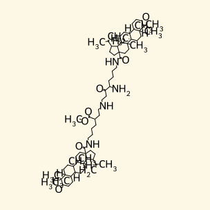 C=C(C)C1CCC2(C(=O)NCCCCC(N)C(=O)CCNCCC(CCCCNC(=O)C34CCC(C(=C)C)C3[C@H]3CC[C@@H]5[C@@]6(C)CCC(=O)C(C)(C)[C@@H]6CC[C@@]5(C)[C@]3(C)CC4)C(=O)OC)CC[C@]3(C)[C@H](CC[C@@H]4[C@@]5(C)CCC(=O)C(C)(C)[C@@H]5CC[C@]43C)C12